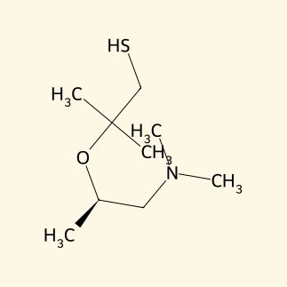 C[C@H](CN(C)C)OC(C)(C)CS